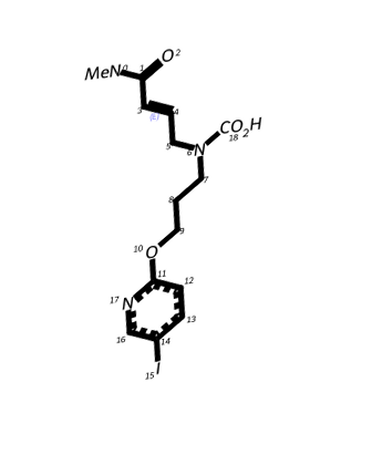 CNC(=O)/C=C/CN(CCCOc1ccc(I)cn1)C(=O)O